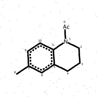 CC(=O)N1CCCc2cc(C)ccc21